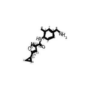 Cc1cc(CN)ccc1NC(=O)c1cc(C2CC2)on1